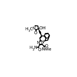 CNC(=O)c1c(C(N)=O)nc2n1C1Cc3ccc(c1c3)C(C#C[C@]1(O)CCN(C)C1=O)=C2